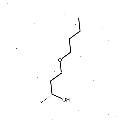 CCCCOCC[C@@H](C)O